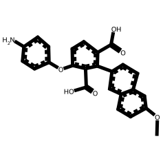 COc1ccc2cc(-c3c(C(=O)O)ccc(Oc4ccc(N)cc4)c3C(=O)O)ccc2c1